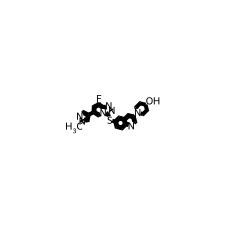 Cn1cc(-c2cc(F)c3nnc(Sc4ccc5ncc(N6CCC(O)CC6)cc5c4)n3c2)cn1